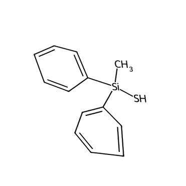 C[Si](S)(c1ccccc1)c1ccccc1